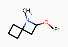 CC(C)OC1CC2(CCC2)N1C